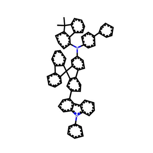 CC1(C)c2ccccc2-c2c(N(c3ccc(-c4ccccc4)cc3)c3ccc4c(c3)C3(c5ccccc5-c5ccccc53)c3cc(-c5cccc6c5c5ccccc5n6-c5ccccc5)ccc3-4)cccc21